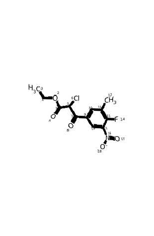 CCOC(=O)C(Cl)C(=O)c1cc(C)c(F)c([N+](=O)[O-])c1